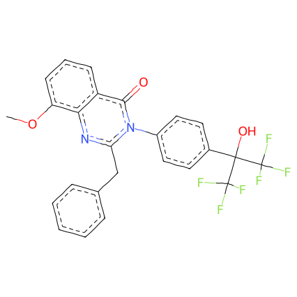 COc1cccc2c(=O)n(-c3ccc(C(O)(C(F)(F)F)C(F)(F)F)cc3)c(Cc3ccccc3)nc12